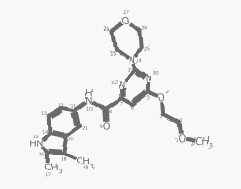 COCCOc1cc(C(=O)Nc2ccc3[nH]c(C)c(C)c3c2)nc(N2CCOCC2)n1